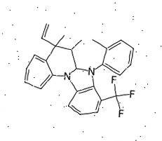 C=CC1(C)c2ccccc2N2c3cccc(C(F)(F)F)c3N(c3ccccc3C)C2C1C